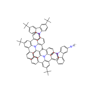 [C-]#[N+]c1ccc2c(c1)c1ccccc1n2-c1ccc2c(c1)N(c1c(-c3ccccc3)cc(C(C)(C)C)cc1-c1ccccc1)c1cccc3c1B2c1ccc(-n2c4ccc(C(C)(C)C)cc4c4cc(C(C)(C)C)ccc42)cc1N3c1c(-c2ccccc2)cc(C(C)(C)C)cc1-c1ccccc1